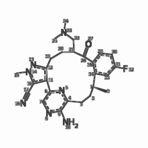 C[C@H]1CCc2nc(cnc2N)-c2c(nn(C)c2C#N)CCC(CN(C)C)C(=O)c2ccc(F)cc21